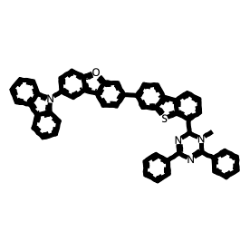 CN1C(c2ccccc2)=NC(c2ccccc2)=NC1c1cccc2c1sc1cc(-c3ccc4c(c3)oc3ccc(-n5c6ccccc6c6ccccc65)cc34)ccc12